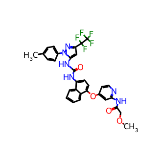 COCC(=O)Nc1cc(Oc2ccc(NC(=O)Nc3cc(C(F)(F)C(F)(F)F)nn3-c3ccc(C)cc3)c3ccccc23)ccn1